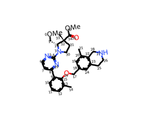 COC[C@H]1N(c2nccc(-c3cccc(C)c3OCc3cc(C)c4c(c3)CCNC4)n2)CC[C@@]1(C)C(=O)OC